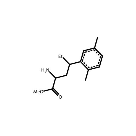 CCC(CC(N)C(=O)OC)c1cc(C)ccc1C